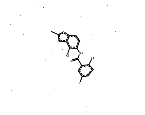 Cc1nc2c(Cl)c(NC(=O)c3cc(Cl)ccc3Cl)ccc2s1